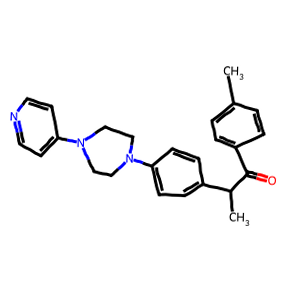 Cc1ccc(C(=O)C(C)c2ccc(N3CCN(c4ccncc4)CC3)cc2)cc1